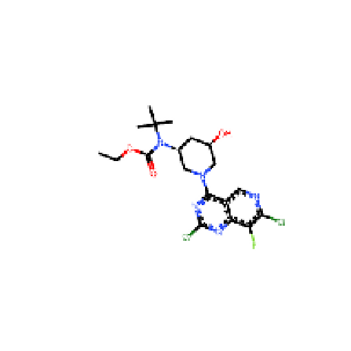 CCOC(=O)N([C@H]1C[C@@H](O)CN(c2nc(Cl)nc3c(F)c(Cl)ncc23)C1)C(C)(C)C